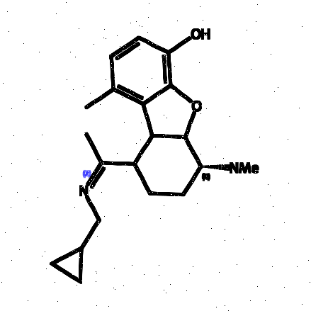 CN[C@@H]1CCC(/C(C)=N\CC2CC2)C2c3c(C)ccc(O)c3OC21